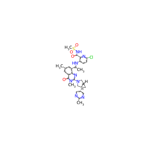 Cc1cc([C@@H](C)Nc2ccc(Cl)nc2C(=O)NS(C)(=O)=O)c2nc(N3C[C@@H]4C[C@@]4(c4cnc(C)nc4)C3)n(C)c(=O)c2c1